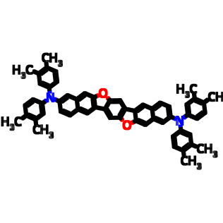 Cc1ccc(N(c2ccc(C)c(C)c2)c2ccc3cc4c(cc3c2)oc2cc3c(cc24)oc2cc4cc(N(c5ccc(C)c(C)c5)c5ccc(C)c(C)c5)ccc4cc23)cc1C